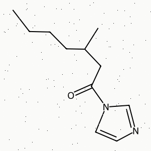 CCCCC(C)CC(=O)n1ccnc1